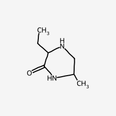 CCC1NCC(C)NC1=O